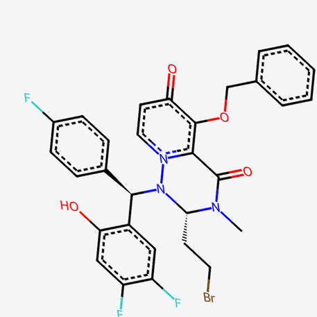 CN1C(=O)c2c(OCc3ccccc3)c(=O)ccn2N([C@H](c2ccc(F)cc2)c2cc(F)c(F)cc2O)[C@H]1CCBr